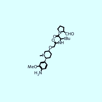 COc1cc([C@@H]2CC[C@H](OCC(=O)NC(C(=O)N3CCCC3C=O)C(C)(C)C)CN2C)ccc1N